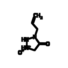 C=CCN1N[NH+]([O-])CC1=O